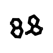 O=c1ccoc2ccccc12.c1ccc2ncccc2c1